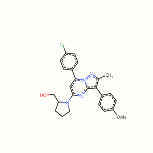 COc1ccc(-c2c(C)nn3c(-c4ccc(Cl)cc4)cc(N4CCCC4CO)nc23)cc1